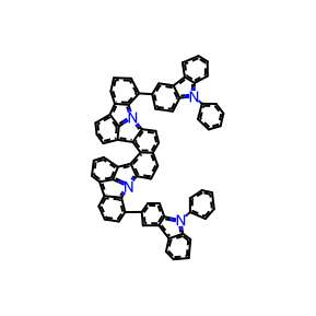 c1ccc(-n2c3ccccc3c3cc(-c4cccc5c6cccc7c8c9c(ccc8n(c45)c67)ccc4c9c5cccc6c7cccc(-c8ccc9c(c8)c8ccccc8n9-c8ccccc8)c7n4c65)ccc32)cc1